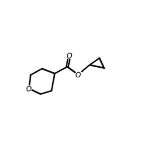 O=C(OC1CC1)C1CCOCC1